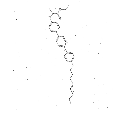 CCCCCCCCCc1ccc(-c2ncc(-c3ccc(OC(C)C(=O)OCC)cc3)cn2)cc1